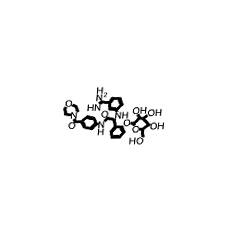 N=C(N)c1cccc(NC(C(=O)Nc2ccc(C(=O)N3CCOCC3)cc2)c2ccccc2OC2OC(CO)C(O)C(O)C2O)c1